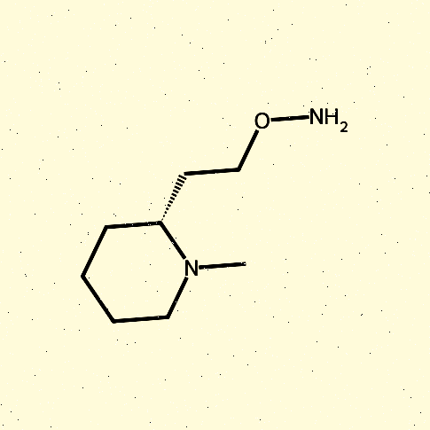 CN1CCCC[C@@H]1CCON